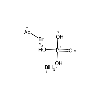 O=P(O)(O)O.[BiH3].[Br][Ag]